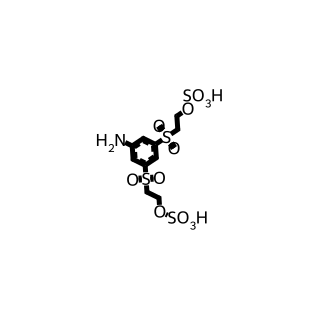 Nc1cc(S(=O)(=O)CCOS(=O)(=O)O)cc(S(=O)(=O)CCOS(=O)(=O)O)c1